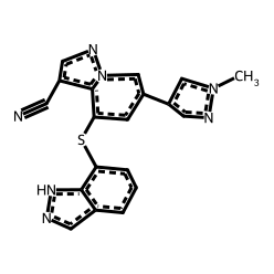 Cn1cc(-c2cc(Sc3cccc4cn[nH]c34)c3c(C#N)cnn3c2)cn1